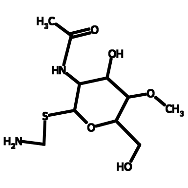 COC1C(CO)OC(SCN)C(NC(C)=O)C1O